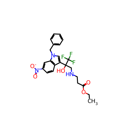 CCOC(=O)CCNCC(O)(c1cn(Cc2ccccc2)c2cc([N+](=O)[O-])ccc12)C(F)(F)F